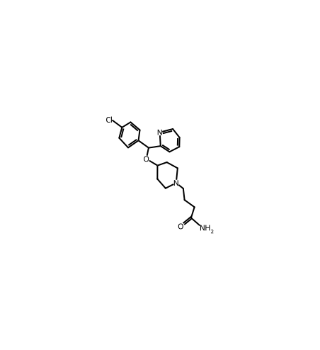 NC(=O)CCCN1CCC(OC(c2ccc(Cl)cc2)c2ccccn2)CC1